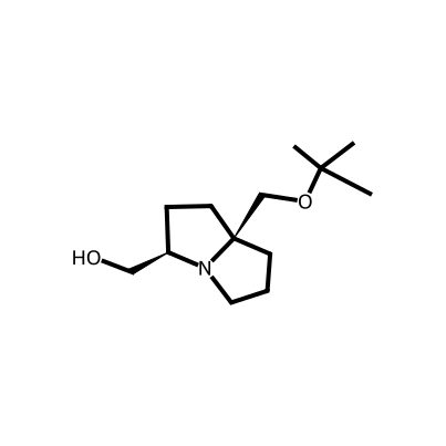 CC(C)(C)OC[C@@]12CCCN1[C@@H](CO)CC2